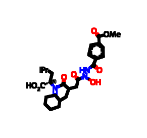 COC(=O)c1ccc(C(=O)NN(O)C(=O)CC(CC2CCCCC2)C(=O)N[C@@H](CC(C)C)C(=O)O)cc1